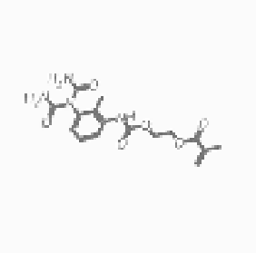 C=C(C)C(=O)OCCOC(=O)Nc1cccc(N(C(N)=O)C(N)=O)c1C